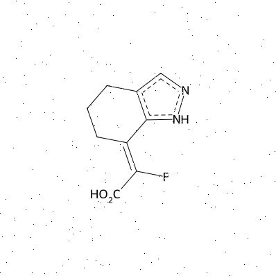 O=C(O)C(F)=C1CCCc2cn[nH]c21